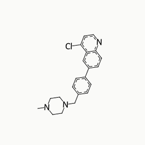 CN1CCN(Cc2ccc(-c3ccc4nccc(Cl)c4c3)cc2)CC1